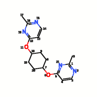 Cc1nccc(OC2CCC(Oc3ccnc(C)n3)CC2)n1